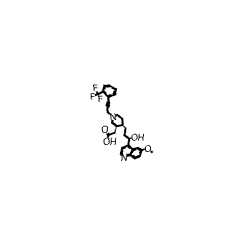 COc1ccc2nccc([C@H](O)CC[C@@H]3CCN(CC#Cc4ccccc4C(F)(F)F)C[C@@H]3CC(=O)O)c2c1